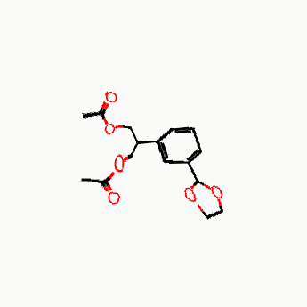 CC(=O)OCC(COC(C)=O)c1cccc(C2OCCO2)c1